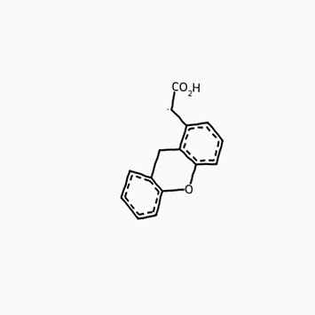 O=C(O)[CH]c1cccc2c1Cc1ccccc1O2